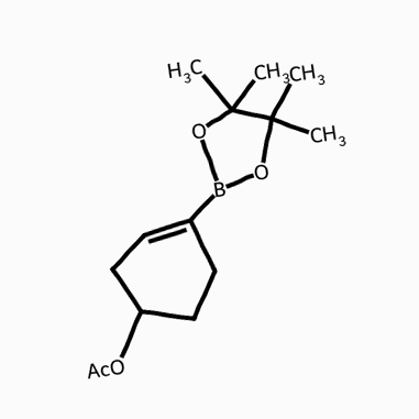 CC(=O)OC1CC=C(B2OC(C)(C)C(C)(C)O2)CC1